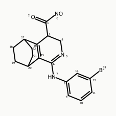 O=NC(=O)C1CN=C(Nc2cccc(Br)c2)C2=C1C1CCC2CC1